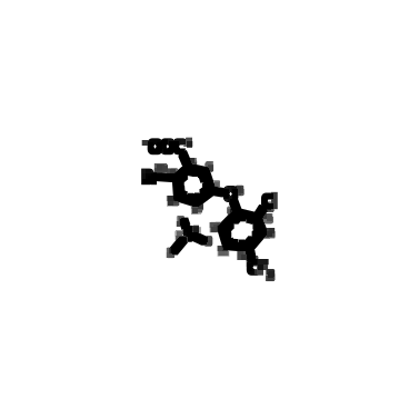 C[S+](C)C.O=C([O-])c1cc(Oc2ccc(C(F)(F)F)cc2Cl)ccc1Br